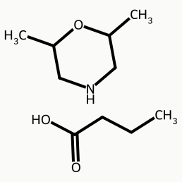 CC1CNCC(C)O1.CCCC(=O)O